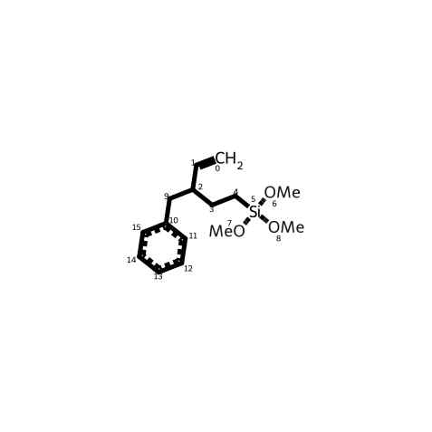 C=CC(CC[Si](OC)(OC)OC)Cc1ccccc1